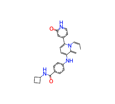 C=C1C(Nc2ccc(C(=O)NC3CCC3)cc2)=CC=C(c2cc[nH]c(=O)c2)N1/C=C\C